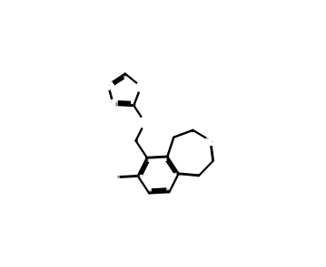 Cl.Clc1ccc2c(c1CSc1nncs1)CCNCC2